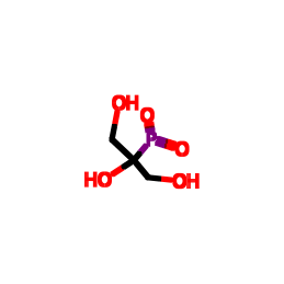 O=P(=O)C(O)(CO)CO